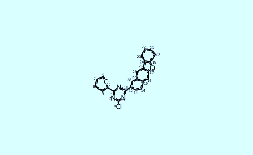 Clc1nc(-c2ccccc2)nc(-c2ccc3cc4oc5ccccc5c4cc3c2)n1